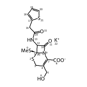 CS[C@]12SCC(CO)=C(C(=O)[O-])N1C(=O)C2NC(=O)Cc1cccs1.[K+]